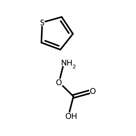 NOC(=O)O.c1ccsc1